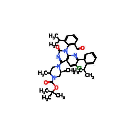 CC(C)c1ccccc1-c1nc2c(cc1Cl)c(N1C[C@H](C)N(C(=O)OC(C)(C)C)C[C@@H]1C)nc(=O)n2-c1c(C=O)cccc1C(C)C